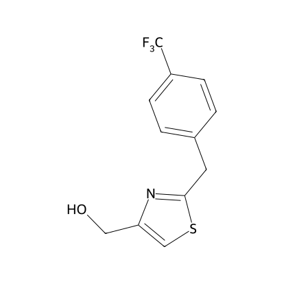 OCc1csc(Cc2ccc(C(F)(F)F)cc2)n1